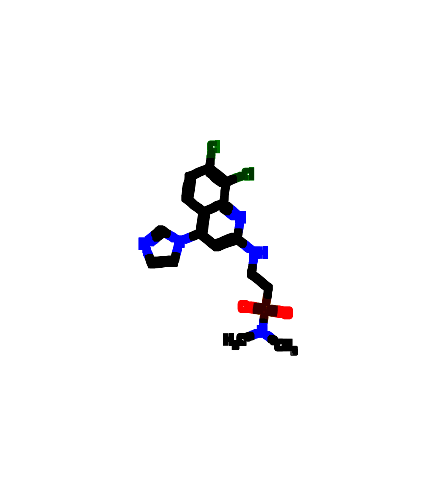 CN(C)S(=O)(=O)CCNc1cc(-n2ccnc2)c2ccc(Cl)c(Cl)c2n1